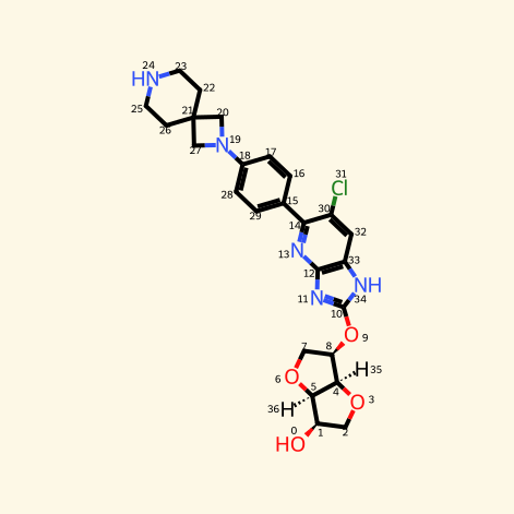 O[C@@H]1CO[C@H]2[C@@H]1OC[C@H]2Oc1nc2nc(-c3ccc(N4CC5(CCNCC5)C4)cc3)c(Cl)cc2[nH]1